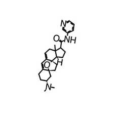 CN(C)[C@@H]1CCC2=CC3=CCC4(C)C(C(=O)Nc5cccnc5)CC[C@H]4[C@@]34CC[C@]2(C1)O4